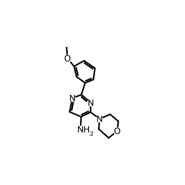 COc1cccc(-c2ncc(N)c(N3CCOCC3)n2)c1